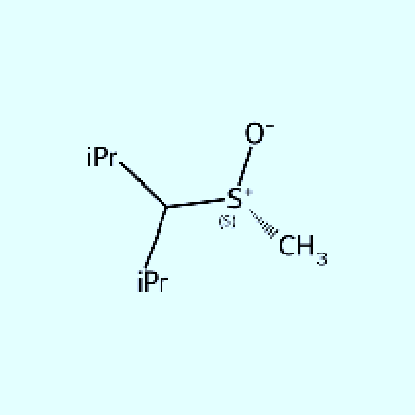 CC(C)C(C(C)C)[S@@+](C)[O-]